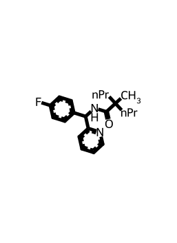 CCCC(C)(CCC)C(=O)NC(c1ccc(F)cc1)c1ccccn1